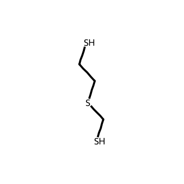 SCCSCS